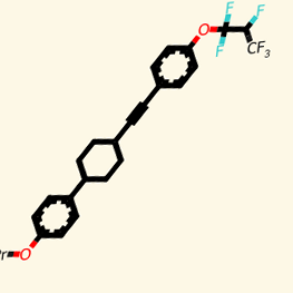 CCCOc1ccc(C2CCC(C#Cc3ccc(OC(F)(F)C(F)C(F)(F)F)cc3)CC2)cc1